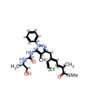 CC\C=C/C(=C\C(F)=C(/C)C(=O)NC)Cc1nn(-c2ccccc2)c(NC(=O)N[C@H](C)CO)c1C